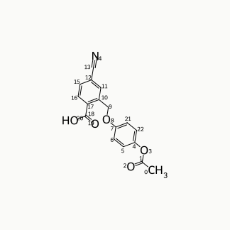 CC(=O)Oc1ccc(OCc2cc(C#N)ccc2C(=O)O)cc1